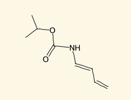 C=CC=CNC(=O)OC(C)C